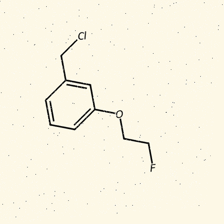 FCCOc1cccc(CCl)c1